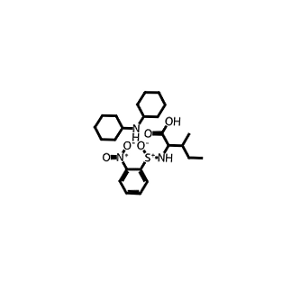 C1CCC(NC2CCCCC2)CC1.CCC(C)C(N[S+]([O-])c1ccccc1[N+](=O)[O-])C(=O)O